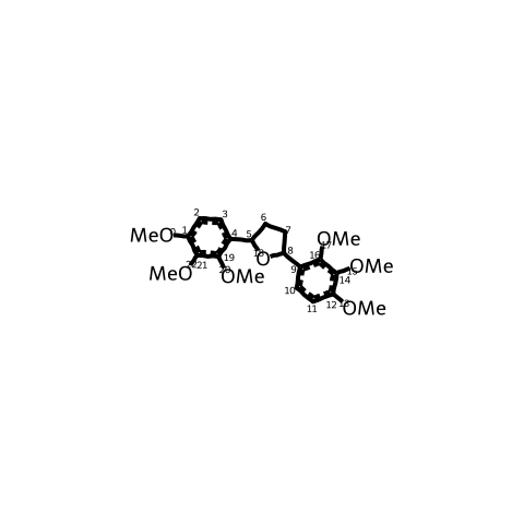 COc1ccc(C2CCC(c3ccc(OC)c(OC)c3OC)O2)c(OC)c1OC